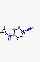 N#CN1CCC(NC2CC2)CC1